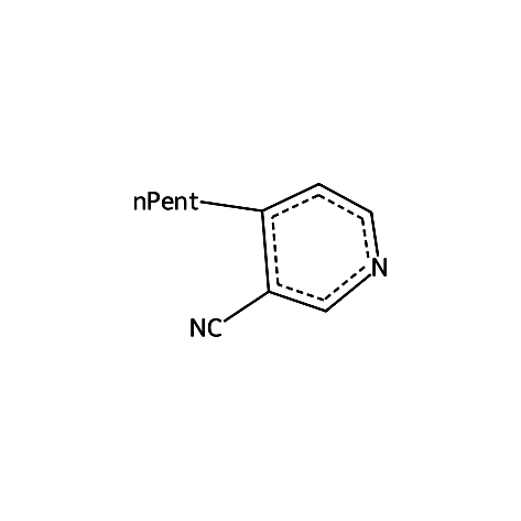 CCCCCc1ccncc1C#N